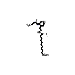 C=C/C=C(F)\C=C1/CNCC=C1CCNC(=C)CCCCCCCCCCCCCCCCCCC